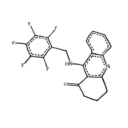 O=C1CCCc2nc3ccccc3c(NCc3c(F)c(F)c(F)c(F)c3F)c21